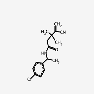 C=C(C#N)C(C)(C)CC(=O)NC(C)c1ccc(Cl)cc1